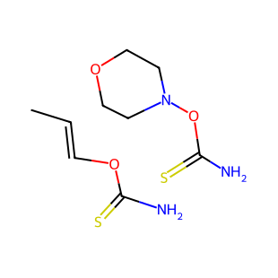 CC=COC(N)=S.NC(=S)ON1CCOCC1